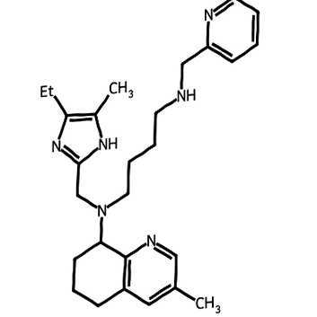 CCc1nc(CN(CCCCNCc2ccccn2)C2CCCc3cc(C)cnc32)[nH]c1C